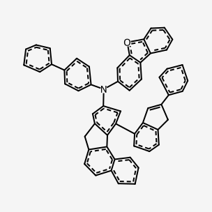 C1=C(c2ccccc2)Cc2cccc(-c3cc(N(c4ccc(-c5ccccc5)cc4)c4ccc5c(c4)oc4ccccc45)cc4c3-c3c(ccc5ccccc35)C4)c21